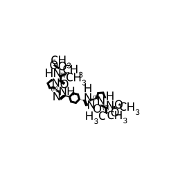 COC(=O)N[C@@H](C(=O)N1CCC[C@@H]1c1ncc([C@H]2CC[C@H](c3cnc([C@H]4CCCN4C(=O)[C@H](NC(=O)OC)C(C)C)[nH]3)CC2)[nH]1)C(C)C